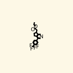 CCOC(=O)CC1CCc2c(-c3ccc(C(F)(F)F)c(F)c3)cncc21